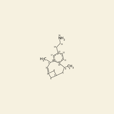 CC1C=C2CC(C2)CC(C)c2ccc(CCN)cc21